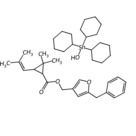 CC(C)=CC1C(C(=O)OCc2coc(Cc3ccccc3)c2)C1(C)C.[OH][Sn]([CH]1CCCCC1)([CH]1CCCCC1)[CH]1CCCCC1